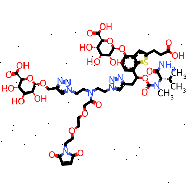 CC(C)[C@@H](C(N)=O)N(C)C(=O)OC(Cc1cn(CCN(CCn2cc(CO[C@@H]3O[C@H](C(=O)O)[C@@H](O)[C@H](O)[C@H]3O)nn2)C(=O)COCCOCCN2C(=O)C=CC2=O)nn1)c1ccc(O[C@@H]2O[C@H](C(=O)O)[C@@H](O)[C@H](O)[C@H]2O)c2cc(CCC(=O)O)sc12